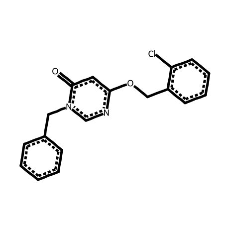 O=c1cc(OCc2ccccc2Cl)ncn1Cc1ccccc1